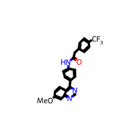 COc1ccc2c(-c3ccc(NC(=O)Cc4ccc(C(F)(F)F)cc4)cc3)ncnc2c1